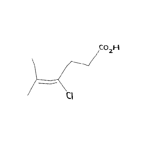 CC(C)=C(Cl)CCC(=O)O